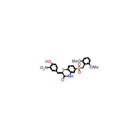 COc1cccc(OC)c1CS(=O)(=O)c1ccc2c(c1)NC(=O)C(=Cc1ccc(O)c([N+](=O)[O-])c1)S2